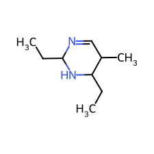 CCC1N=CC(C)C(CC)N1